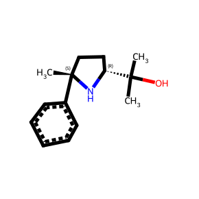 CC(C)(O)[C@H]1CC[C@@](C)(c2ccccc2)N1